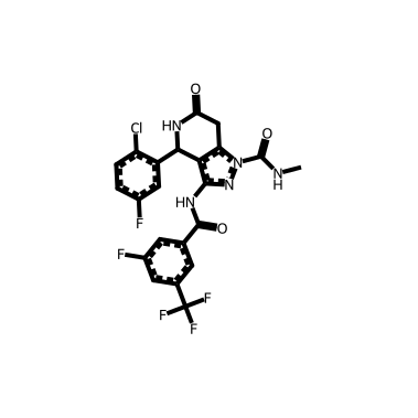 CNC(=O)n1nc(NC(=O)c2cc(F)cc(C(F)(F)F)c2)c2c1CC(=O)NC2c1cc(F)ccc1Cl